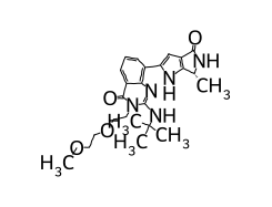 COCCOCCn1c(NC(C)(C)C)nc2c(-c3cc4c([nH]3)[C@@H](C)NC4=O)cccc2c1=O